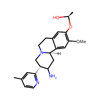 COc1cc2c(cc1O[C@H](C)O)CCN1C[C@@H](c3cc(C)ccn3)C(N)C[C@H]21